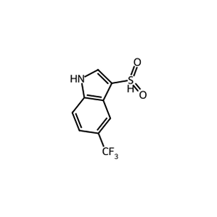 O=[SH](=O)c1c[nH]c2ccc(C(F)(F)F)cc12